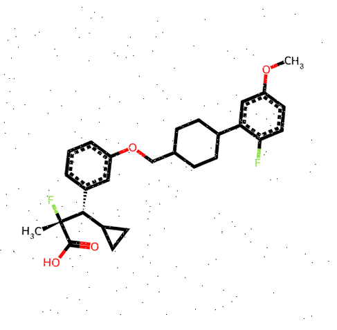 COc1ccc(F)c(C2CCC(COc3cccc([C@H](C4CC4)[C@@](C)(F)C(=O)O)c3)CC2)c1